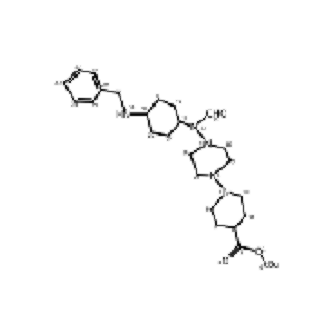 CC(C)(C)OC(=O)C1CCN(N2CCN(N(C=O)C3CCC(NCc4ccccc4)CC3)CC2)CC1